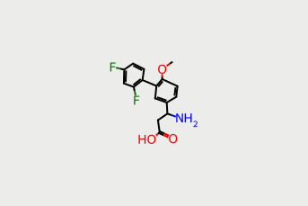 COc1ccc(C(N)CC(=O)O)cc1-c1ccc(F)cc1F